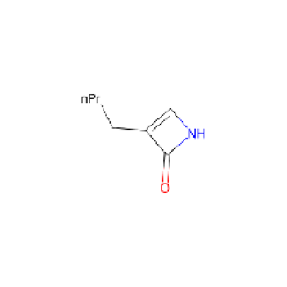 CCCCC1=CNC1=O